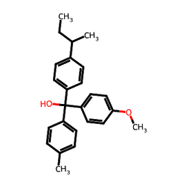 CCC(C)c1ccc(C(O)(c2ccc(C)cc2)c2ccc(OC)cc2)cc1